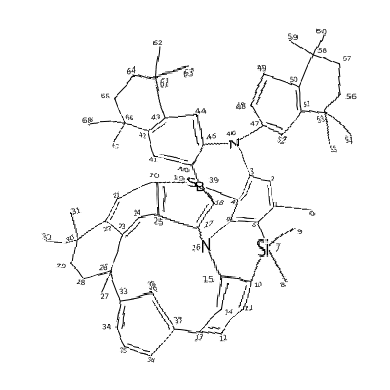 Cc1cc2c3c4c1[Si](C)(C)c1ccc5cc1N4c1c(sc4cc6c(cc14)C(C)(CCC6(C)C)c1cccc-5c1)B3c1cc3c(cc1N2c1ccc2c(c1)C(C)(C)CCC2(C)C)C(C)(C)CCC3(C)C